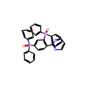 O=P(c1ccccc1)(c1ccccc1)c1ccc(-c2ncccn2)c(P(=O)(c2ccccc2)c2ccccc2)c1